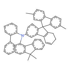 Cc1ccc2c(c1)C1(C3=C(C=CCC3)c3cc(N(c4ccccc4-c4ccccc4)c4cccc5c4-c4ccccc4C5(C)C)ccc31)c1cc(C)ccc1-2